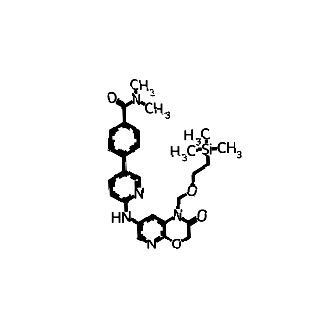 CN(C)C(=O)c1ccc(-c2ccc(Nc3cnc4c(c3)N(COCC[Si](C)(C)C)C(=O)CO4)nc2)cc1